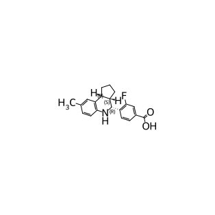 Cc1ccc2c(c1)[C@@H]1CCC[C@@H]1[C@H](c1ccc(C(=O)O)cc1F)N2